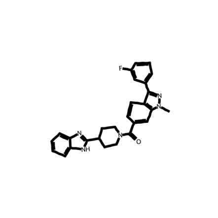 Cn1nc(-c2cccc(F)c2)c2ccc(C(=O)N3CCC(c4nc5ccccc5[nH]4)CC3)cc21